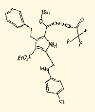 CCOC(=O)c1c(CNc2ccc(Cl)cc2)[nH]c(C(=O)OC(C)(C)C)c1CCc1ccccc1.O=C(O)C(F)(F)F